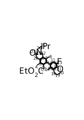 CCOC(=O)Cc1c(C)c2c(c(C)c1-c1cc(F)c3c(c1C)CCCO3)CN(CC(C)C)C(=O)C2